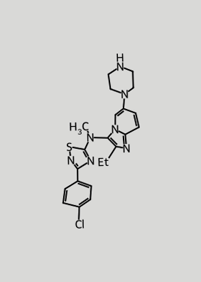 CCc1nc2ccc(N3CCNCC3)cn2c1N(C)c1nc(-c2ccc(Cl)cc2)ns1